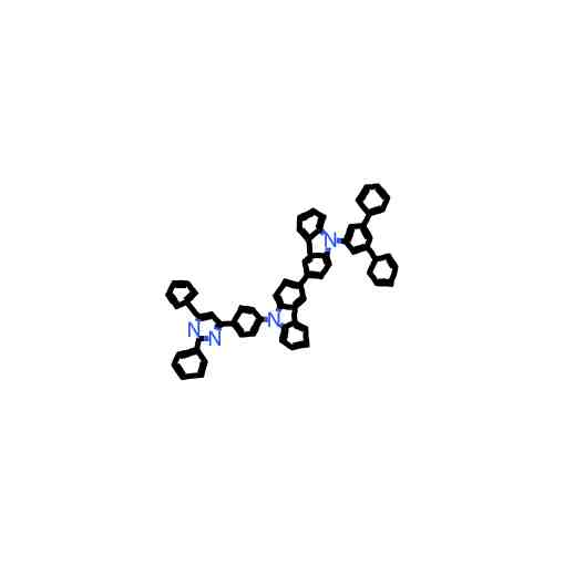 C1=CCC(c2cc(-c3ccccc3)cc(-n3c4ccccc4c4cc(-c5ccc6c(c5)c5ccccc5n6-c5ccc(-c6cc(-c7ccccc7)nc(-c7ccccc7)n6)cc5)ccc43)c2)C=C1